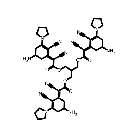 N#CC1=C(N2CCCC2)CC(N)C/C1=C(/C#N)C(=O)OCC(COC(=O)/C(C#N)=C1\CC(N)CC(N2CCCC2)=C1C#N)COC(=O)/C(C#N)=C1\CC(N)CC(N2CCCC2)=C1C#N